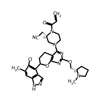 C=CC(=O)N1CCN(c2nc(OC[C@@H]3CCCN3C)nc3c2CCC(c2c(Cl)c(C)cc4[nH]ncc24)O3)C[C@@H]1CC#N